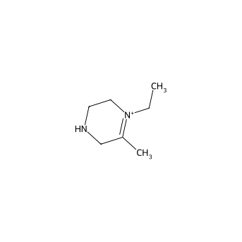 CC[N+]1=C(C)CNCC1